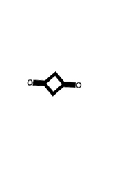 O=C1CC(=O)C1